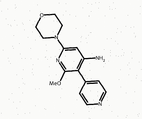 COc1nc(N2CCOCC2)cc(N)c1-c1ccncc1